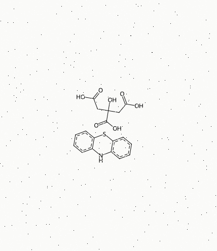 O=C(O)CC(O)(CC(=O)O)C(=O)O.c1ccc2c(c1)Nc1ccccc1S2